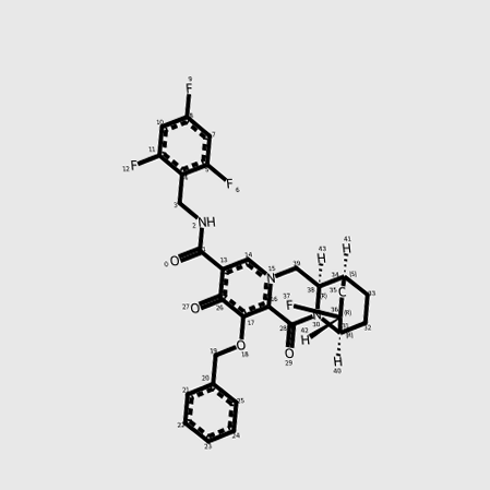 O=C(NCc1c(F)cc(F)cc1F)c1cn2c(c(OCc3ccccc3)c1=O)C(=O)N1[C@@H]3CC[C@@H](C[C@H]3F)[C@@H]1C2